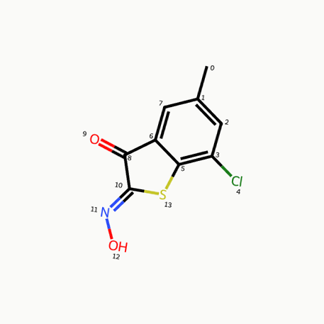 Cc1cc(Cl)c2c(c1)C(=O)C(=NO)S2